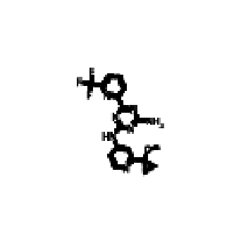 COC1(c2cc(Nc3nc(N)nc(-c4cccc(C(F)(F)F)n4)n3)ccn2)CC1